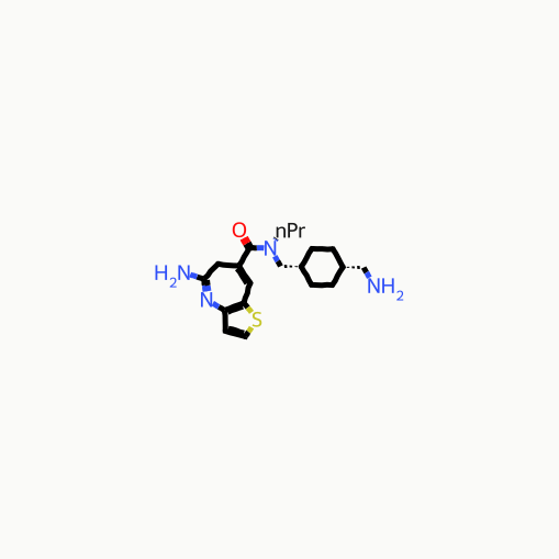 CCCN(C[C@H]1CC[C@@H](CN)CC1)C(=O)C1=Cc2sccc2N=C(N)C1